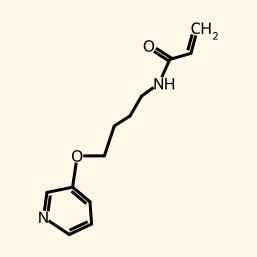 C=CC(=O)NCCCCOc1cccnc1